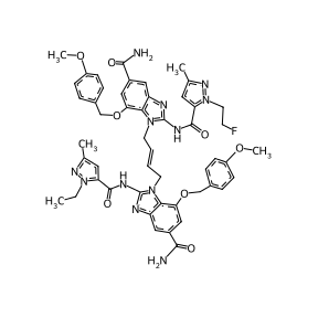 CCn1nc(C)cc1C(=O)Nc1nc2cc(C(N)=O)cc(OCc3ccc(OC)cc3)c2n1CC=CCn1c(NC(=O)c2cc(C)nn2CCF)nc2cc(C(N)=O)cc(OCc3ccc(OC)cc3)c21